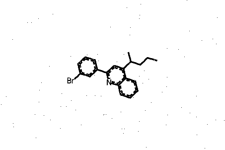 CCCC(C)c1cc(-c2cccc(Br)c2)nc2ccccc12